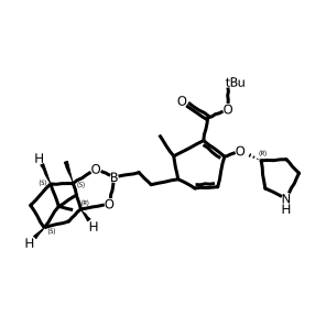 CC1C(C(=O)OC(C)(C)C)=C(O[C@@H]2CCNC2)C=CC1CCB1O[C@@H]2C[C@@H]3C[C@@H](C3(C)C)[C@]2(C)O1